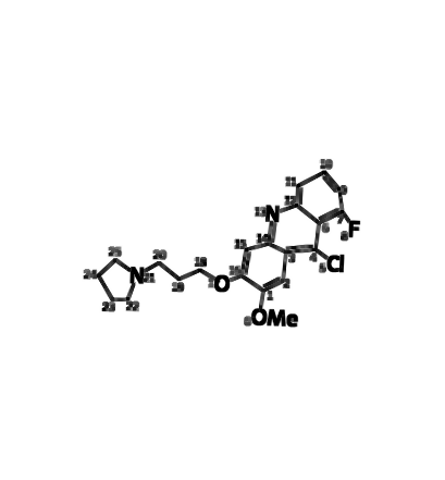 COc1cc2c(Cl)c3c(F)cccc3nc2cc1OCCCN1CCCC1